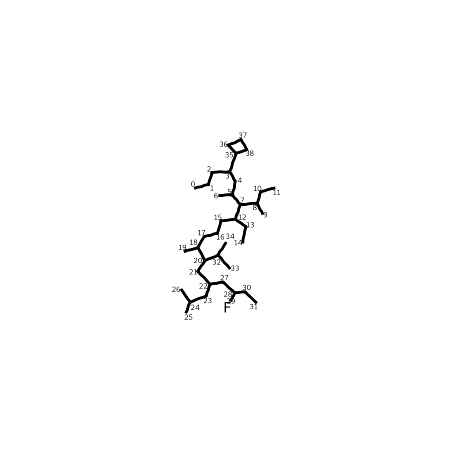 CCCC(CC(C)C(C(C)CC)C(CC)CCCC(C)C(CC(CC(C)C)CC(F)CC)C(C)C)C1CCC1